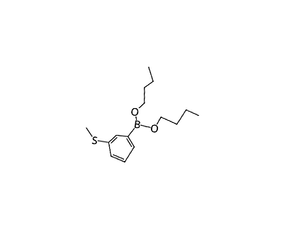 CCCCOB(OCCCC)c1cccc(SC)c1